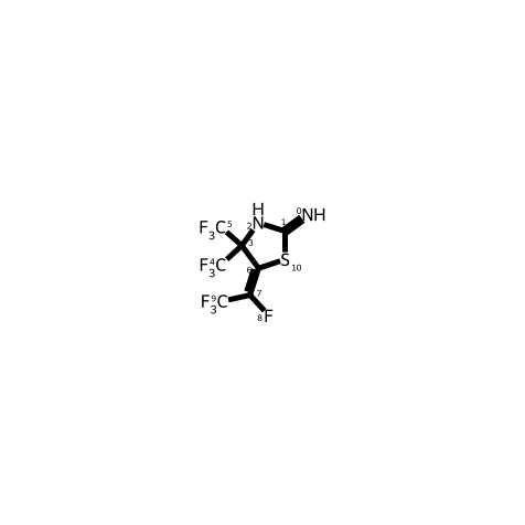 N=C1NC(C(F)(F)F)(C(F)(F)F)/C(=C(/F)C(F)(F)F)S1